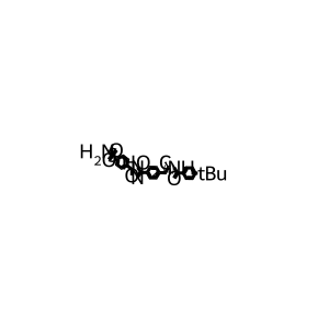 CC(C)(C)c1ccc(C(=O)N[C@@H](Cc2ccc(-c3noc(-c4ccc(S(N)(=O)=O)cc4)n3)cc2)C(=O)O)cc1